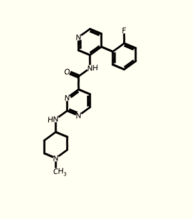 CN1CCC(Nc2nccc(C(=O)Nc3cnccc3-c3ccccc3F)n2)CC1